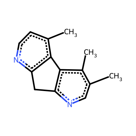 Cc1cnc2c(c1C)-c1c(C)ccnc1C2